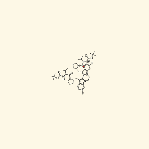 CC(C)C(NC(=O)OC(C)(C)C)C(=O)N1CCC[C@H]1Cc1c2n(c3cc(F)ccc13)CCn1c-2c(C[C@@H]2CCCN2C(=O)[C@@H](NC(=O)OC(C)(C)C)C(C)C)c2ccc(F)cc21